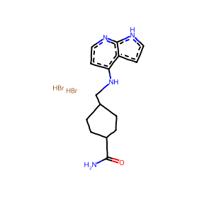 Br.Br.NC(=O)C1CCC(CNc2ccnc3[nH]ccc23)CC1